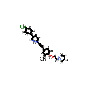 N#Cc1cc(C#Cc2ccc(-c3ccc(Cl)cc3)cn2)ccc1OCCN1CCCC1